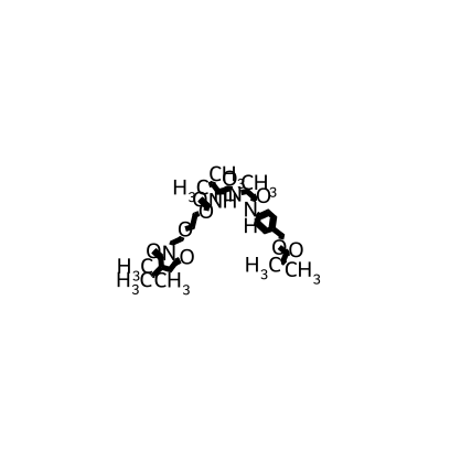 CC(C)C(=O)OCc1ccc(NC(=O)[C@H](C)NC(=O)[C@@H](NC(=O)OCCOCCN2C(=O)CC(C(C)(C)C)C2=O)C(C)C)cc1